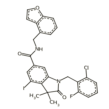 CC1(C)C(=O)N(Cc2c(F)cccc2Cl)c2cc(C(=O)NCc3cccc4occc34)cc(I)c21